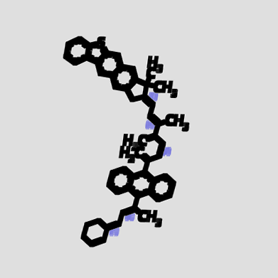 C=C(/C=C\C(=C)c1c2ccccc2c(/C(C)=C/C=C2/C=CCCC2)c2ccccc12)/C(C)=C/C=C1\Cc2cc3cc4c(cc3cc2C1(C)C)sc1ccccc14